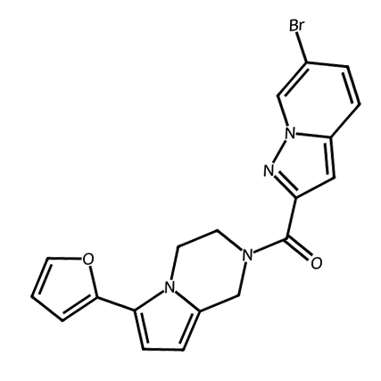 O=C(c1cc2ccc(Br)cn2n1)N1CCn2c(ccc2-c2ccco2)C1